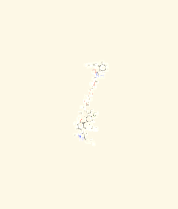 CC(=O)Oc1c(-c2cc(C(F)(F)F)nn2C)ccc(OCCCCCOCCOCCOCCNC(=O)c2ccccc2C=O)c1-c1ccc(Cl)c(C(F)(F)F)c1